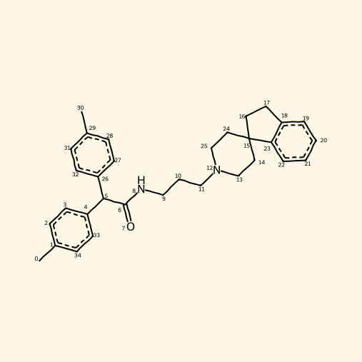 Cc1ccc(C(C(=O)NCCCN2CCC3(CCc4ccccc43)CC2)c2ccc(C)cc2)cc1